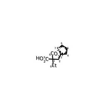 CCC(Cc1cccs1)(C(=O)O)C(=O)O